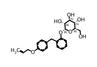 C=CCOc1ccc(Cc2ccccc2O[C@H]2O[C@H](CO)[C@@H](O)[C@H](O)[C@H]2O)cc1